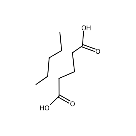 CCCCC.O=C(O)CCCC(=O)O